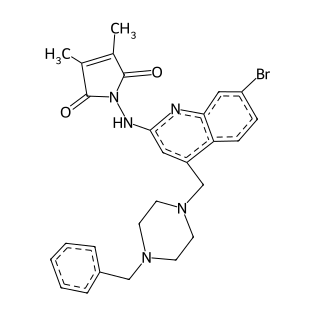 CC1=C(C)C(=O)N(Nc2cc(CN3CCN(Cc4ccccc4)CC3)c3ccc(Br)cc3n2)C1=O